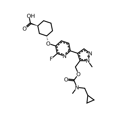 CN(CC1CC1)C(=O)OCc1c(-c2ccc(O[C@H]3CCC[C@H](C(=O)O)C3)c(F)n2)cnn1C